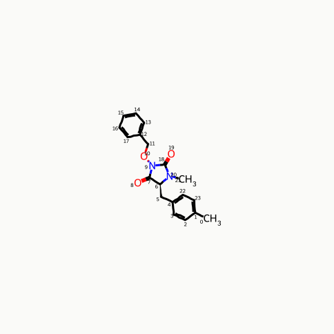 Cc1ccc(C[C@H]2C(=O)N(OCc3ccccc3)C(=O)N2C)cc1